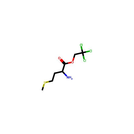 CSCCC(N)C(=O)OCC(Cl)(Cl)Cl